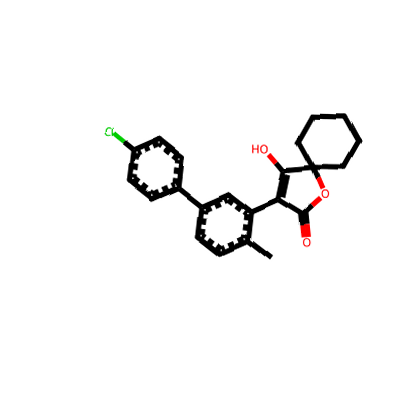 Cc1ccc(-c2ccc(Cl)cc2)cc1C1=C(O)C2(CCCCC2)OC1=O